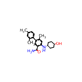 Cc1ccc(-c2cc(C(N)=O)c(N[C@H]3CC[C@H](O)CC3)cc2C)c(C)c1